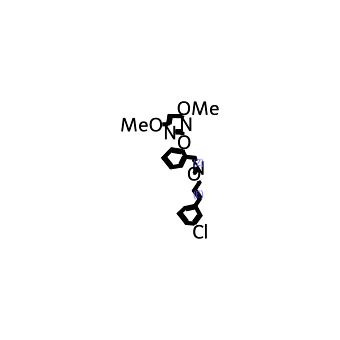 COc1cc(OC)nc(Oc2ccccc2/C=N\OC/C=C/c2cccc(Cl)c2)n1